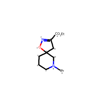 CCOC(=O)C1=NOC2(CCCN(C(C)C)C2)C1